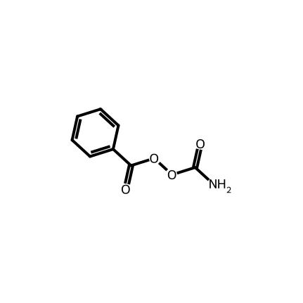 NC(=O)OOC(=O)c1ccccc1